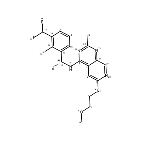 COCCNc1cc2c(N[C@H](C)c3cccc(C(F)F)c3F)nc(C)nc2cn1